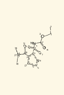 CCOC(=O)NS(=O)(=O)c1ncccc1C(=O)N(C)C